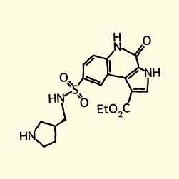 CCOC(=O)c1c[nH]c2c(=O)[nH]c3ccc(S(=O)(=O)NC[C@H]4CCNC4)cc3c12